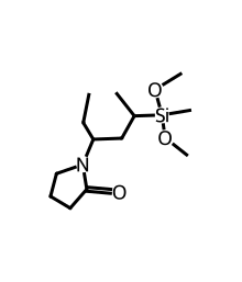 CCC(CC(C)[Si](C)(OC)OC)N1CCCC1=O